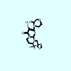 CC1COCCN1c1nc2n(c(=O)c1F)CCC(C(F)(F)F)N2Cc1cocn1